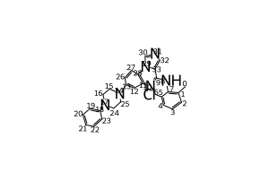 Cc1cccc(Cl)c1Nc1nc2cc(N3CCN(c4ccccc4)CC3)ccc2n2cncc12